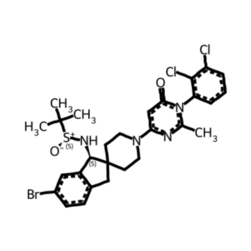 Cc1nc(N2CCC3(CC2)Cc2ccc(Br)cc2[C@H]3N[S@+]([O-])C(C)(C)C)cc(=O)n1-c1cccc(Cl)c1Cl